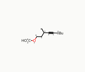 CCCCC#CC(C)CCOC(=O)O